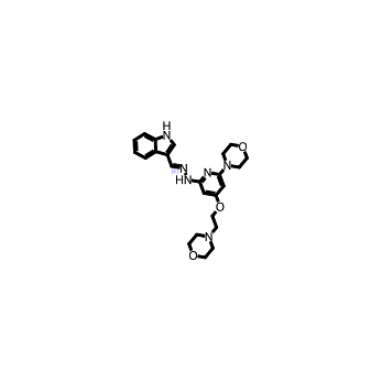 C(=N\Nc1cc(OCCN2CCOCC2)cc(N2CCOCC2)n1)/c1c[nH]c2ccccc12